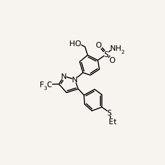 CCSc1ccc(-c2cc(C(F)(F)F)nn2-c2ccc(S(N)(=O)=O)c(CO)c2)cc1